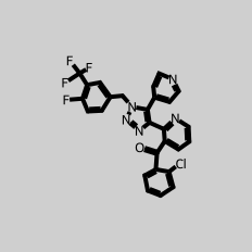 O=C(c1ccccc1Cl)c1cccnc1-c1nnn(Cc2ccc(F)c(C(F)(F)F)c2)c1-c1ccncc1